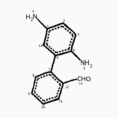 Nc1ccc(N)c(-c2ccccc2C=O)c1